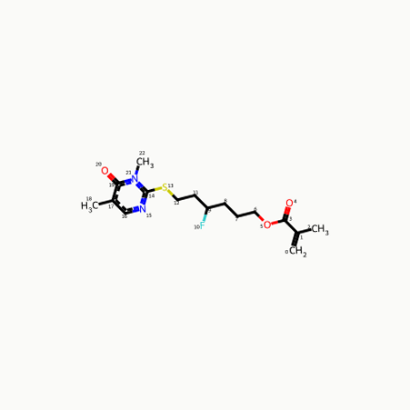 C=C(C)C(=O)OCCCC(F)CCSc1ncc(C)c(=O)n1C